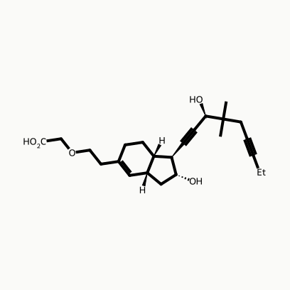 CCC#CCC(C)(C)[C@H](O)C#C[C@@H]1[C@H]2CCC(CCOCC(=O)O)=C[C@H]2C[C@H]1O